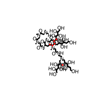 CN(C)CC(=O)N(C)CC(=O)N(C)CC(=O)N(C)C(CCCN(C[C@H](O)[C@@H](O)[C@H](O)[C@H](O)CO)C[C@H](O)[C@@H](O)[C@H](O)CCO)C(=O)N(C)CC(=O)N(C)CC(=O)N(C)CC(=O)NCCN(C[C@H](O)[C@@H](O)[C@H](O)[C@H](O)CO)C[C@H](O)[C@@H](O)[C@H](O)CCO